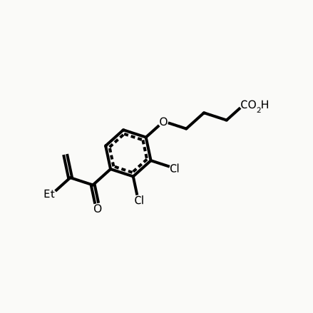 C=C(CC)C(=O)c1ccc(OCCCC(=O)O)c(Cl)c1Cl